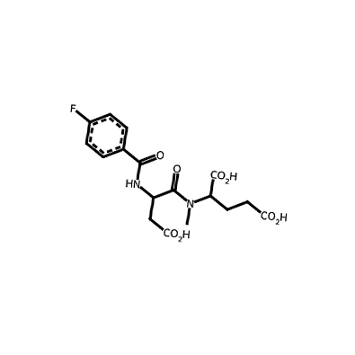 CN(C(=O)C(CC(=O)O)NC(=O)c1ccc(F)cc1)C(CCC(=O)O)C(=O)O